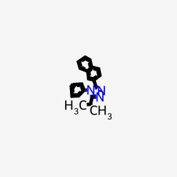 CC(C)c1nnc(-c2ccc3ccccc3c2)n1-c1cc#ccc1